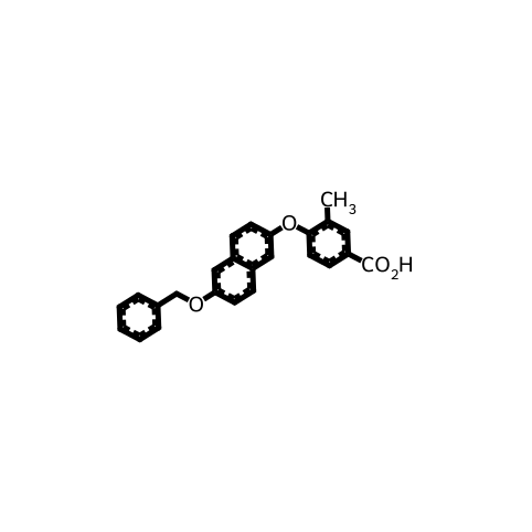 Cc1cc(C(=O)O)ccc1Oc1ccc2cc(OCc3ccccc3)ccc2c1